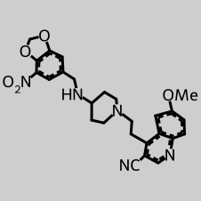 COc1ccc2ncc(C#N)c(CCN3CCC(NCc4cc5c(c([N+](=O)[O-])c4)OCO5)CC3)c2c1